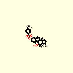 CC(=O)[C@H]1CC[C@H]2C3CC=C4C[C@@H](OS(=O)(=O)c5ccc(C)cc5)CC[C@]4(C)[C@H]3[C@@H](O)C[C@]12C